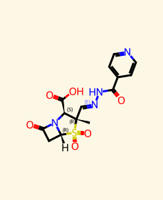 C[C@]1(/C=N/NC(=O)c2ccncc2)[C@H](C(=O)O)N2C(=O)C[C@H]2S1(=O)=O